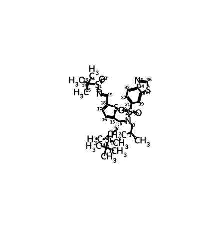 CC(C)CN([C@H](CO[Si](C)(C)C(C)(C)C)c1ccc(C=N[S+]([O-])C(C)(C)C)s1)S(=O)(=O)c1ccc2ncsc2c1